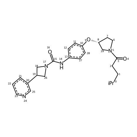 CC(C)CCC(=O)N1CC[C@@H](Oc2ccc(NC(=O)N3CC(c4cccnc4)C3)cc2)C1